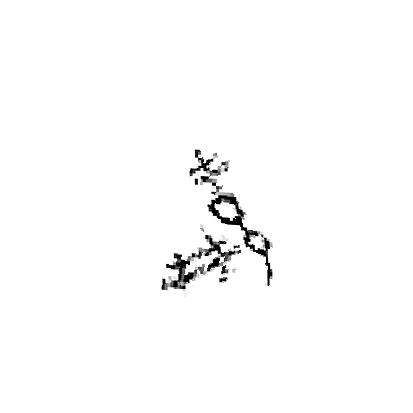 CCc1ccc(-c2ccccc2)nc1.O=S(=O)([O-])C(F)(F)F.O=S(=O)([O-])C(F)(F)F.O=S(=O)([O-])C(F)(F)F.[Ir+3]